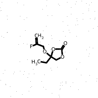 C=C(F)COC1(CC)COC(=O)O1